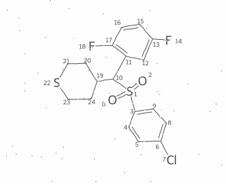 O=S(=O)(c1ccc(Cl)cc1)C(c1cc(F)ccc1F)C1CCSCC1